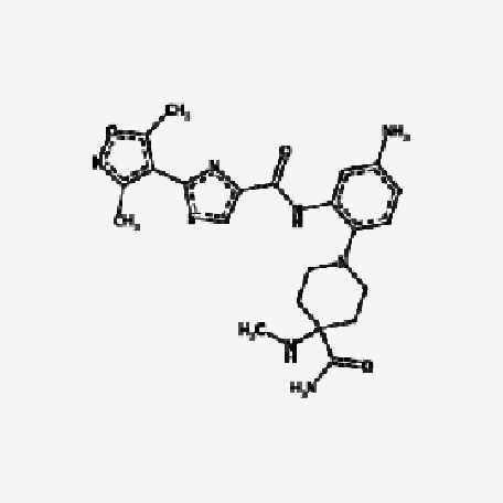 CNC1(C(N)=O)CCN(c2ccc(N)cc2NC(=O)c2csc(-c3c(C)noc3C)n2)CC1